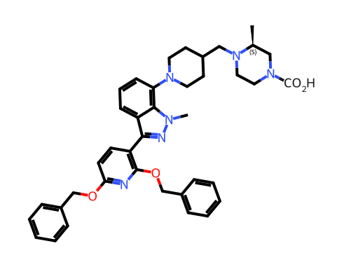 C[C@H]1CN(C(=O)O)CCN1CC1CCN(c2cccc3c(-c4ccc(OCc5ccccc5)nc4OCc4ccccc4)nn(C)c23)CC1